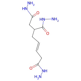 NNC(=O)CC=CCC(CC(=O)NN)C(=O)NN